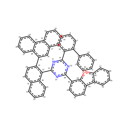 c1ccc(-c2ccccc2-c2nc(-c3c(-c4cc5ccccc5c5ccccc45)ccc4ccccc34)nc(-c3cccc4c3oc3ccccc34)n2)cc1